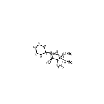 CO[Si](OC)(OC)C(C)C(=O)OC1CCCCC1